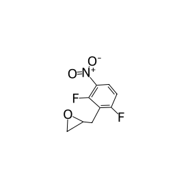 O=[N+]([O-])c1ccc(F)c(CC2CO2)c1F